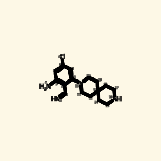 N=Cc1c(N)cc(Cl)cc1N1CCC2(CCNCC2)CC1